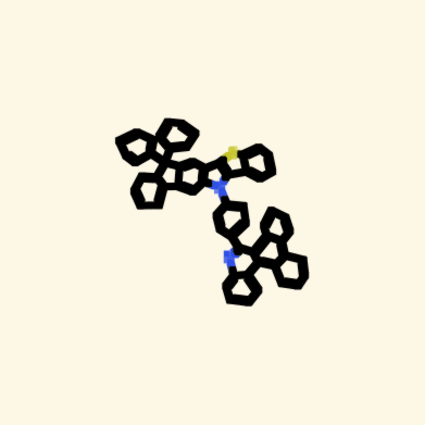 c1ccc(C2(c3ccccc3)c3ccccc3-c3cc4c(cc32)c2sc3ccccc3c2n4-c2ccc(-c3nc4ccccc4c4c5ccccc5c5ccccc5c34)cc2)cc1